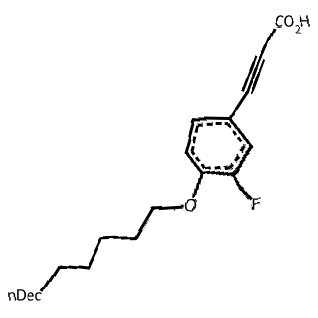 CCCCCCCCCCCCCCCOc1ccc(C#CC(=O)O)cc1F